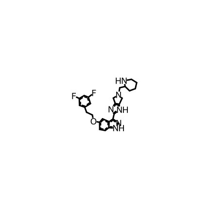 Fc1cc(F)cc(CCOc2ccc3[nH]nc(-c4nc5c([nH]4)CN(CC4CCCCN4)C5)c3c2)c1